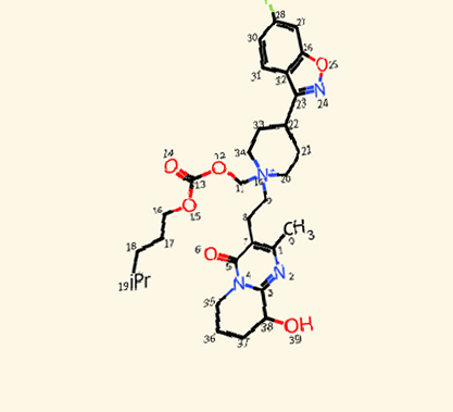 Cc1nc2n(c(=O)c1CC[N+]1(COC(=O)OCCCC(C)C)CCC(c3noc4cc(F)ccc34)CC1)CCCC2O